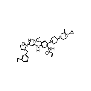 C=CC(=O)Nc1cc(Nc2cc(N3OCC[C@@H]3Cc3cccc(F)c3)ncn2)c(OC)cc1N1CCC(N2CCN(C3CC3)[C@H](C)C2)CC1